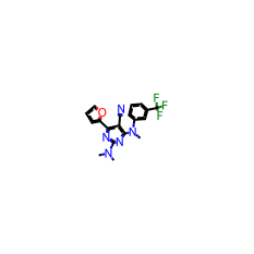 CN(C)c1nc(-c2ccco2)c(C#N)c(N(C)c2cccc(C(F)(F)F)c2)n1